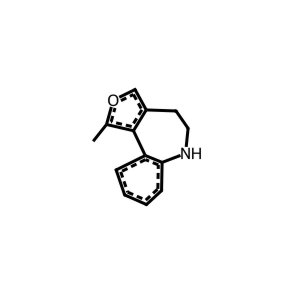 Cc1occ2c1-c1ccccc1NCC2